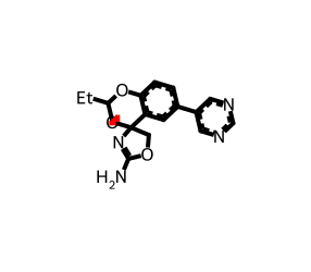 CCC1Oc2ccc(-c3cncnc3)cc2C2(COC(N)=N2)C12COC2